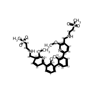 COc1nc(-c2cccc(-c3cccc(-c4ccc(CNCCS(C)(=O)=O)c(OC)n4)c3Cl)c2Cl)ccc1CNCCS(C)(=O)=O